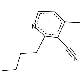 CCCCc1nccc(C)c1C#N